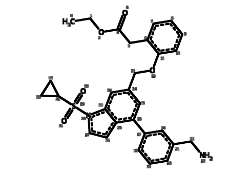 CCOC(=O)Cc1ccccc1OCc1cc(-c2cccc(CN)c2)c2ccn(S(=O)(=O)C3CC3)c2c1